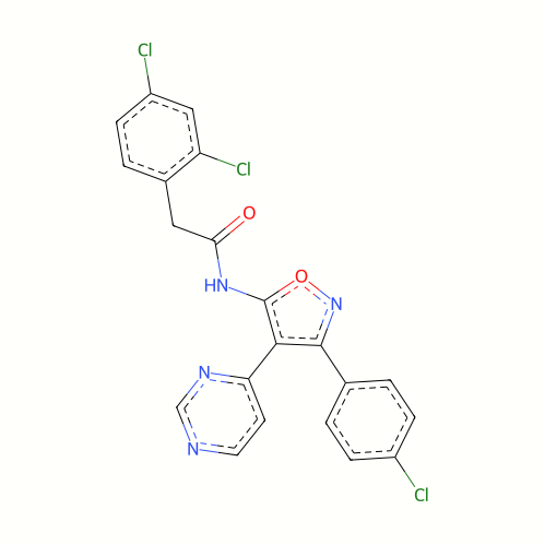 O=C(Cc1ccc(Cl)cc1Cl)Nc1onc(-c2ccc(Cl)cc2)c1-c1ccncn1